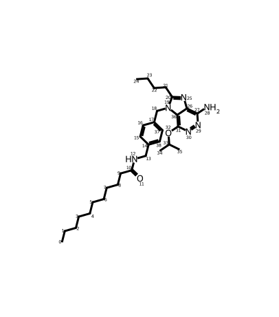 CCCCCCCCCCC(=O)NCc1ccc(Cn2c(CCCC)nc3c(N)nnc(OC(C)C)c32)cc1